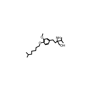 COc1cc(CC[C@@](N)(CO)C(C)C)ccc1OCCCCCC(C)C